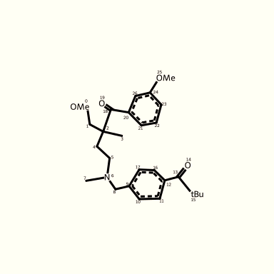 COCC(C)(CCN(C)Cc1ccc(C(=O)C(C)(C)C)cc1)C(=O)c1cccc(OC)c1